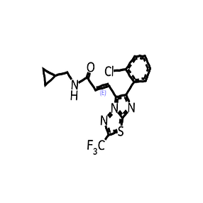 O=C(/C=C/c1c(-c2ccccc2Cl)nc2sc(C(F)(F)F)nn12)NCC1CC1